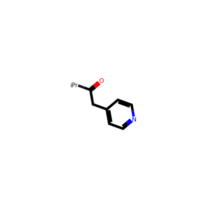 CC(C)C(=O)Cc1ccncc1